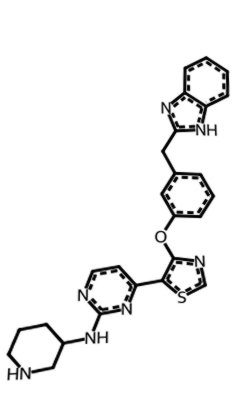 c1cc(Cc2nc3ccccc3[nH]2)cc(Oc2ncsc2-c2ccnc(NC3CCCNC3)n2)c1